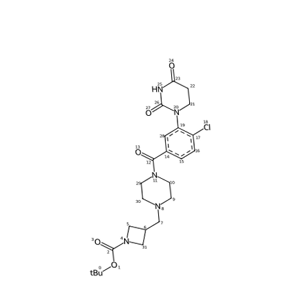 CC(C)(C)OC(=O)N1CC(CN2CCN(C(=O)c3ccc(Cl)c(N4CCC(=O)NC4=O)c3)CC2)C1